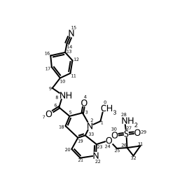 CCn1c(=O)c(C(=O)NCc2ccc(C#N)cc2)cc2ccnc(OCC3(S(N)(=O)=O)CC3)c21